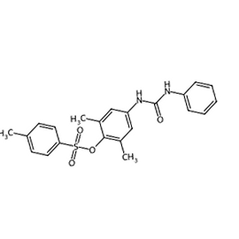 Cc1ccc(S(=O)(=O)Oc2c(C)cc(NC(=O)Nc3ccccc3)cc2C)cc1